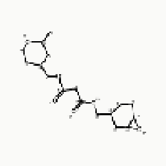 CC1CC(COC(=O)CC(=O)OCC2CCC3OC3C2)CCO1